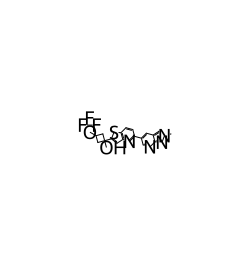 Cn1cc2cc(-c3ccc4sc(C5(O)CC(OC(F)(F)F)C5)cc4n3)cnc2n1